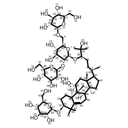 C[C@H](CC[C@@H](O[C@@H]1O[C@H](CO[C@@H]2O[C@H](CO)[C@@H](O)[C@H](O)[C@H]2O)[C@@H](O)[C@H](O)[C@H]1O[C@@H]1O[C@H](CO)[C@@H](O)[C@H](O)[C@H]1O)C(C)(C)O)C1CC[C@@]2(C)[C@H]3CC=C4[C@@H](CC[C@H](O[C@@H]5O[C@H](CO)[C@@H](O)[C@H](O)[C@H]5O)C4(C)C)[C@]3(C)[C@H](O)C[C@]12C